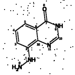 NNc1cccc2c(=O)[nH]cnc12